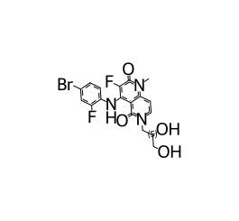 Cn1c(=O)c(F)c(Nc2ccc(Br)cc2F)c2c(=O)n(C[C@H](O)CO)ccc21